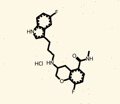 CNC(=O)c1ccc(F)c2c1CC(NCCCc1c[nH]c3ccc(F)cc13)CO2.Cl